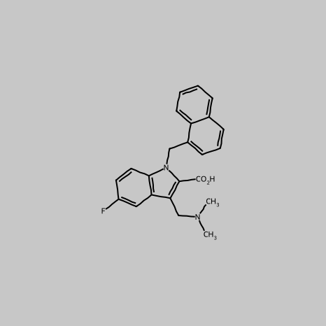 CN(C)Cc1c(C(=O)O)n(Cc2cccc3ccccc23)c2ccc(F)cc12